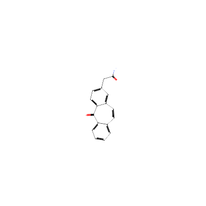 NC(=O)Cc1ccc2c(=O)c3ccccc3ccc2c1